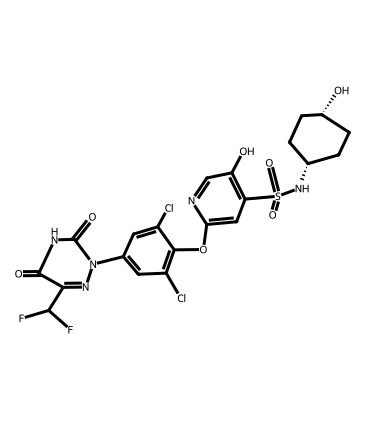 O=c1[nH]c(=O)n(-c2cc(Cl)c(Oc3cc(S(=O)(=O)N[C@H]4CC[C@@H](O)CC4)c(O)cn3)c(Cl)c2)nc1C(F)F